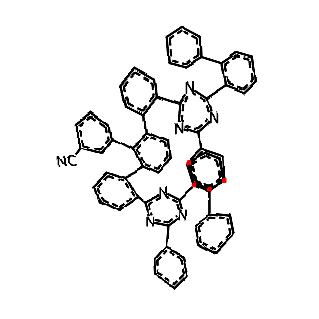 N#Cc1cccc(-c2c(-c3ccccc3-c3nc(-c4ccccc4)nc(-c4ccccc4-c4ccccc4)n3)cccc2-c2ccccc2-c2nc(-c3ccccc3)nc(-c3ccccc3-c3ccccc3)n2)c1